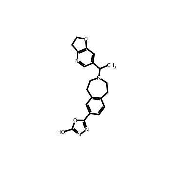 CC(c1cnc2c(c1)OCC2)N1CCc2ccc(-c3nnc(O)o3)cc2CC1